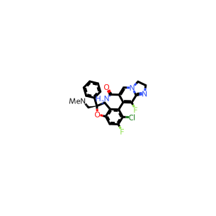 CNC[C@@]1(c2ccccc2)Cc2c(cc(F)c(Cl)c2C2=C(F)C3=NCCN3C=C2C(N)=O)O1